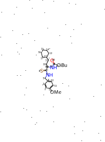 COc1ccc(CNC(=S)[C@@H](CCC2CCCCC2)NC(=O)OCC(C)C)cc1